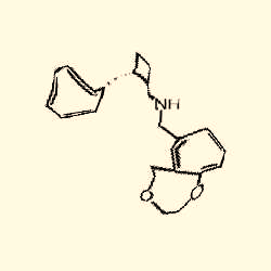 c1ccc([C@@H]2C[C@H]2NCc2cccc3c2COCO3)cc1